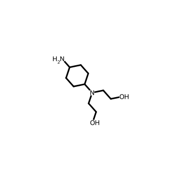 NC1CCC(N(CCO)CCO)CC1